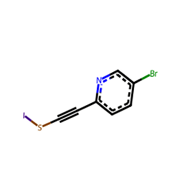 Brc1ccc(C#CSI)nc1